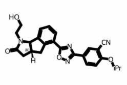 CC(C)Oc1ccc(-c2noc(-c3cccc4c3C[C@@H]3CC(=O)N(CCO)C43)n2)cc1C#N